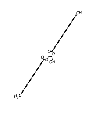 C#CC#CC#CC#CC#CC#CC#CC(=O)O[C@H](CO)COC(=O)C#CC#CC#CC#CC#CC#CC